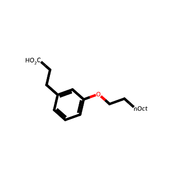 CCCCCCCCCCOc1cccc(CCC(=O)O)c1